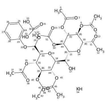 CC(=O)O[C@@H]1[C@@H](OC(C)=O)[C@H](C(C)=O)O[C@H](C(O)[C@@H]2O[C@H](C(Oc3ccccc3)OP(=O)(O)O)[C@@H](OC(C)=O)[C@H](OC(C)=O)[C@H]2OC(C)=O)[C@H]1OC(C)=O.[KH]